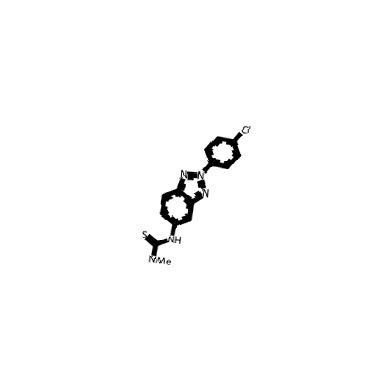 CNC(=S)Nc1ccc2nn(-c3ccc(Cl)cc3)nc2c1